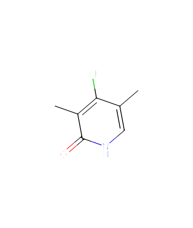 Cc1[c][nH]c(=O)c(C)c1Cl